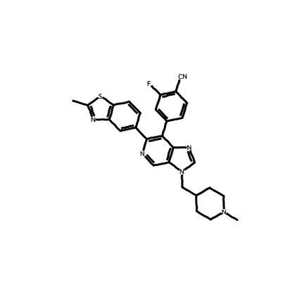 Cc1nc2cc(-c3ncc4c(ncn4CC4CCN(C)CC4)c3-c3ccc(C#N)c(F)c3)ccc2s1